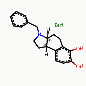 Br.Oc1ccc2c(c1O)CC[C@@H]1[C@H]2CCN1Cc1ccccc1